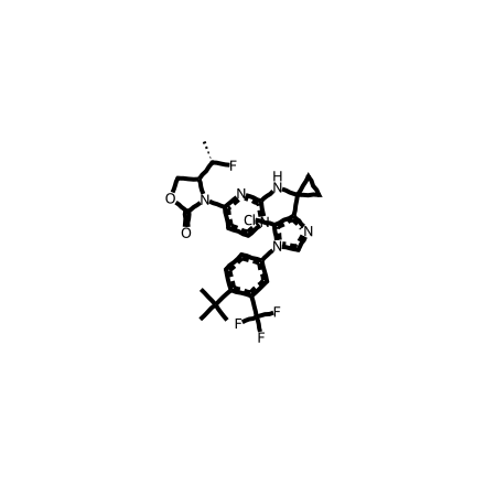 C[C@H](F)C1COC(=O)N1c1ccnc(NC2(c3ncn(-c4ccc(C(C)(C)C)c(C(F)(F)F)c4)c3Cl)CC2)n1